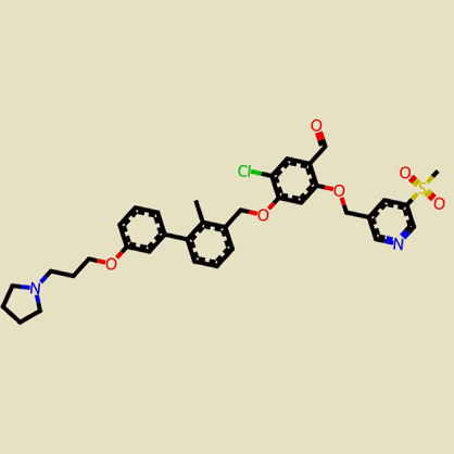 Cc1c(COc2cc(OCc3cncc(S(C)(=O)=O)c3)c(C=O)cc2Cl)cccc1-c1cccc(OCCCN2CCCC2)c1